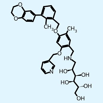 Cc1cc(CNC[C@H](O)[C@@H](O)[C@H](O)[C@H](O)CO)c(OCc2cccnc2)cc1OCc1cccc(-c2ccc3c(c2)OCCO3)c1C